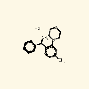 Cc1ccc(C(N)c2ccccc2)c(N2CCOCC2)c1.Cl